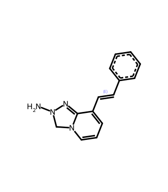 NN1CN2C=CC=C(/C=C/c3ccccc3)C2=N1